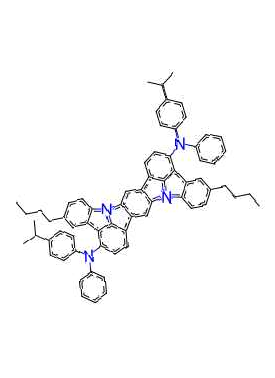 CCCCc1ccc2c(c1)c1c(N(c3ccccc3)c3ccc(C(C)C)cc3)ccc3c4cc5c(cc4n2c31)c1ccc(N(c2ccccc2)c2ccc(C(C)C)cc2)c2c3cc(CCCC)ccc3n5c12